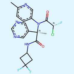 Cc1ccc(N(C(=O)[C@H](F)Cl)[C@@](C)(C(=O)NC2CC(F)(F)C2)c2cncnc2)cn1